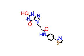 CN1C(=O)c2c(ncn2CCCC(=O)Nc2ccc(-c3nccs3)cc2)N(C)C1O